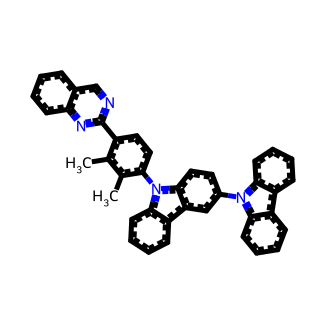 Cc1c(-c2ncc3ccccc3n2)ccc(-n2c3ccccc3c3cc(-n4c5ccccc5c5ccccc54)ccc32)c1C